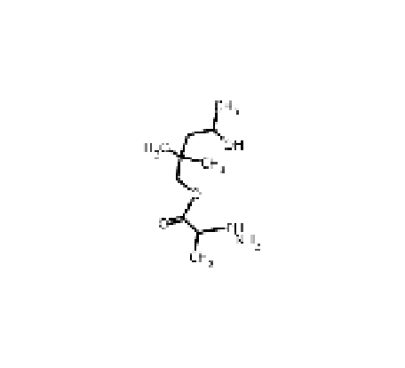 CC(O)CC(C)(C)COC(=O)C(C)PN